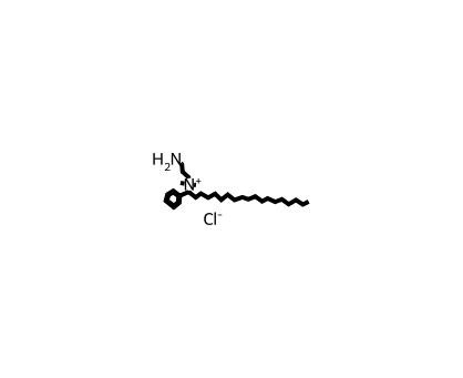 CCCCCCCCCCCCCCCCCCC(c1ccccc1)[N+](C)(C)CCCN.[Cl-]